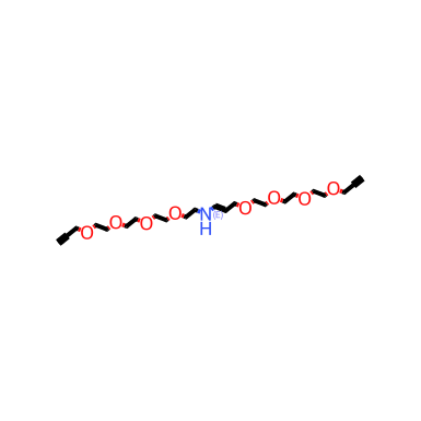 C#CCOCCOCCOCCOC/C=C/NCCOCCOCCOCCOCC#C